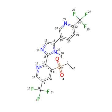 CCS(=O)(=O)c1cc(C(F)(F)F)cnc1-c1ncc(-c2ccc(C(F)(F)F)nc2)n1C